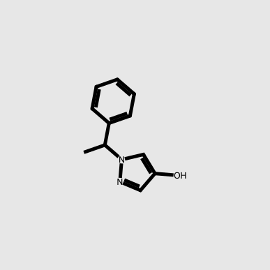 CC(c1ccccc1)n1cc(O)cn1